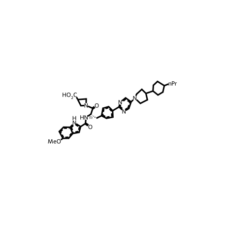 CCCC1CCC(C2CCN(c3cnc(-c4ccc(C[C@H](NC(=O)c5cc6cc(OC)ccc6[nH]5)C(=O)N5CC(C(=O)O)C5)cc4)nc3)CC2)CC1